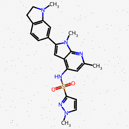 Cc1cc(NS(=O)(=O)c2ccn(C)n2)c2cc(-c3ccc4c(c3)N(C)CC4)n(C)c2n1